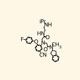 CC(C)NCCNC(=O)CN(CC(=O)N(C)C1Cc2ccccc2C1)c1cc(C#N)ccc1Oc1ccc(F)cc1